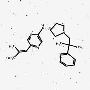 CC(=Cc1cnc(N[C@@H]2CCN(CC(C)(C)c3ccccc3)C2)cn1)C(=O)O